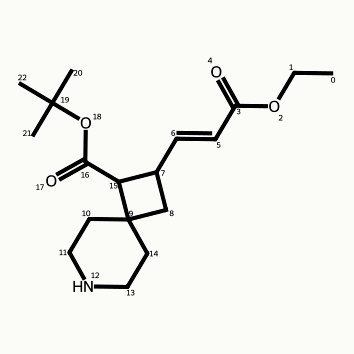 CCOC(=O)/C=C/C1CC2(CCNCC2)C1C(=O)OC(C)(C)C